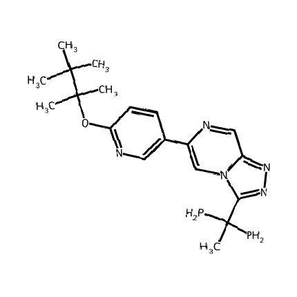 CC(P)(P)c1nnc2cnc(-c3ccc(OC(C)(C)C(C)(C)C)nc3)cn12